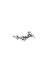 NC(=O)/C=C/c1ccc2c(c1)CCC2NSc1cc(C(F)(F)F)cc(C(F)(F)F)c1